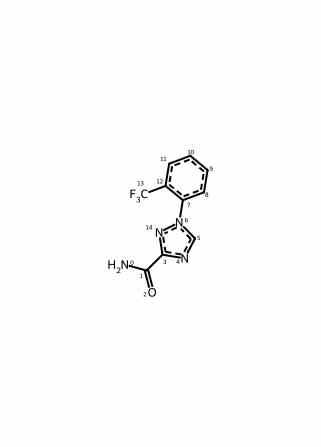 NC(=O)c1ncn(-c2ccccc2C(F)(F)F)n1